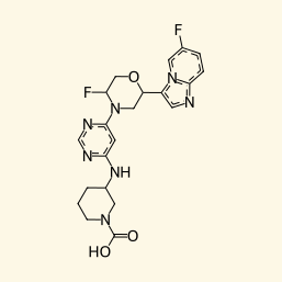 O=C(O)N1CCCC(Nc2cc(N3CC(c4cnc5ccc(F)cn45)OCC3F)ncn2)C1